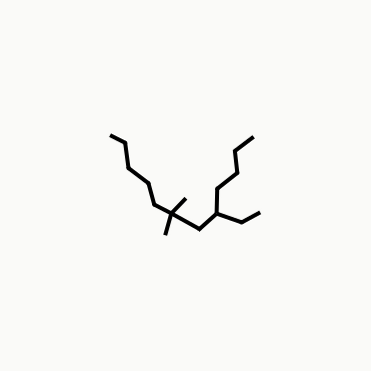 CCCCCC(C)(C)[CH]C(CC)CCCC